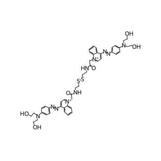 O=C(C[n+]1ccc(/N=N/c2ccc(N(CCO)CCO)cc2)c2ccccc21)NCCSSCCNC(=O)C[n+]1ccc(/N=N/c2ccc(N(CCO)CCO)cc2)c2ccccc21